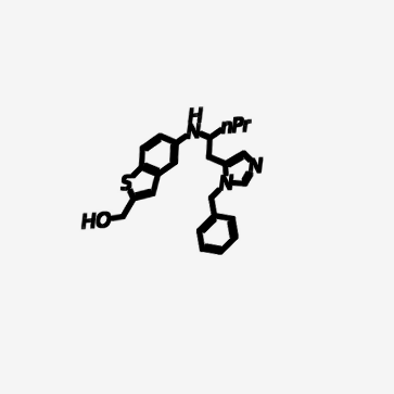 CCCC(Cc1cncn1Cc1ccccc1)Nc1ccc2sc(CO)cc2c1